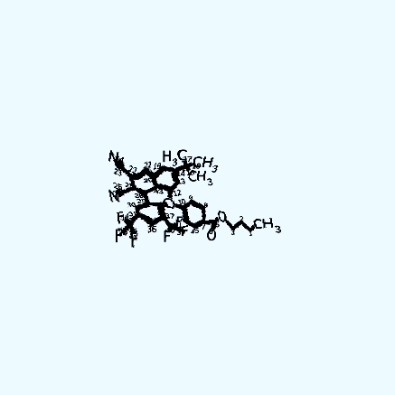 CCCCOC(=O)c1ccc(Oc2cc(C(C)(C)C)cc3cc(C#N)c(C#N)c(-c4cc(C(F)(F)F)cc(C(F)(F)F)c4)c23)cc1